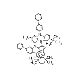 Cc1cc2c3c(c1)N(c1cc(-c4ccccc4)ccc1-c1ccccc1)c1c(sc4cc5c(cc14)C(C)(C)CCC5(C)C)B3c1cc(C(C)(C)C)ccc1N2c1ccc(-c2ccccc2)cc1